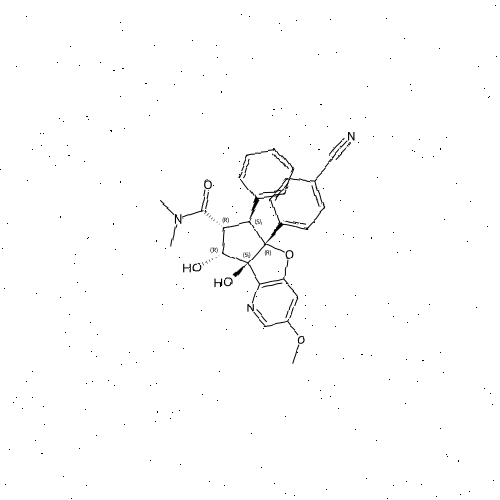 COc1cnc2c(c1)O[C@@]1(c3ccc(C#N)cc3)[C@H](c3ccccc3)[C@@H](C(=O)N(C)C)[C@@H](O)[C@@]21O